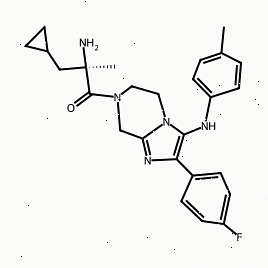 Cc1ccc(Nc2c(-c3ccc(F)cc3)nc3n2CCN(C(=O)[C@](C)(N)CC2CC2)C3)cc1